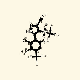 N#Cc1n[nH]c(-c2c(Cl)cc(C(F)(F)F)c(N)c2Cl)c1S(=O)(=O)C(F)(F)F